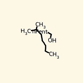 CCCCCC(C)C.CCCCCCO